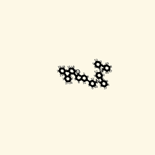 c1cc(-c2ccc3c(ccc4c3oc3ccc5c6ccccc6c6ccccc6c5c34)c2)cc(-n2c3ccccc3c3cc(-n4c5ccccc5c5ccccc54)ccc32)c1